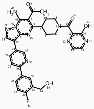 CC(=O)c1c(C2CCN(C(=O)c3nccnc3O)CC2)nc2c(-c3ccc(-c4ccc(F)c(CO)c4)nc3)cnn2c1N